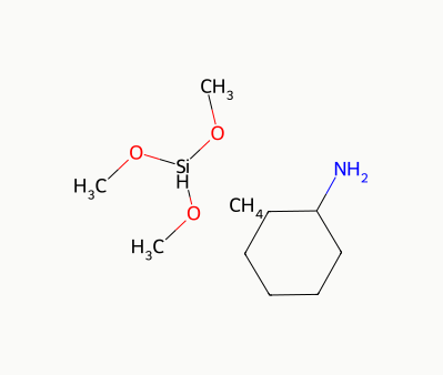 C.CO[SiH](OC)OC.NC1CCCCC1